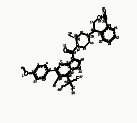 COc1ccc(-c2nc3c(C(=O)N4CCN(C(CO)c5ccccc5C#N)C[C@H]4C)cnn3c(C(F)(F)F)c2C)cc1